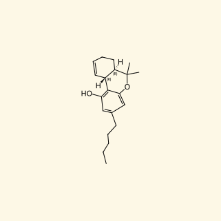 CCCCCc1cc(O)c2c(c1)OC(C)(C)[C@@H]1CCC=C[C@@H]21